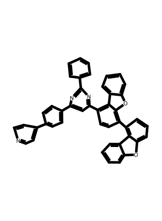 c1ccc(-c2nc(-c3ccc(-c4ccncc4)cc3)cc(-c3ccc(-c4cccc5oc6ccccc6c45)c4oc5ccccc5c34)n2)cc1